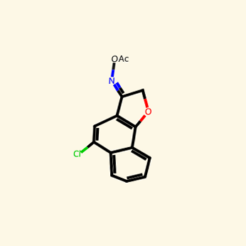 CC(=O)O/N=C1\COc2c1cc(Cl)c1ccccc21